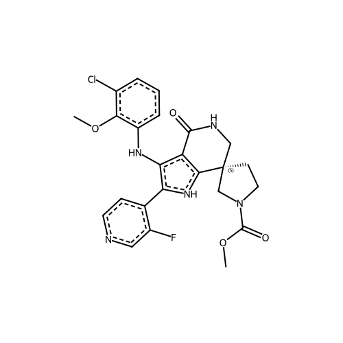 COC(=O)N1CC[C@]2(CNC(=O)c3c2[nH]c(-c2ccncc2F)c3Nc2cccc(Cl)c2OC)C1